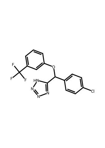 FC(F)(F)c1cccc(OC(c2ccc(Cl)cc2)c2nnn[nH]2)c1